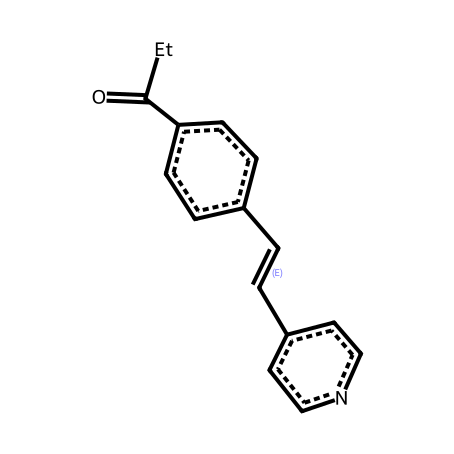 CCC(=O)c1ccc(/C=C/c2ccncc2)cc1